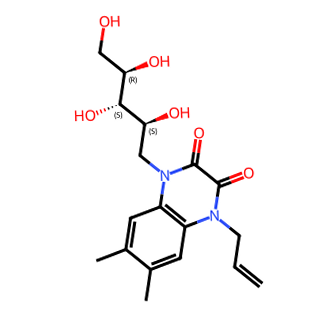 C=CCn1c(=O)c(=O)n(C[C@H](O)[C@H](O)[C@H](O)CO)c2cc(C)c(C)cc21